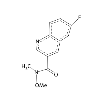 CON(C)C(=O)c1cnc2ccc(F)cc2c1